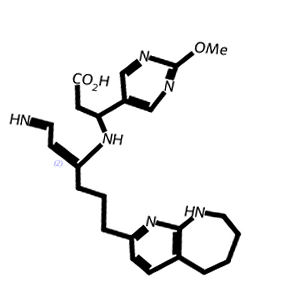 COc1ncc(C(CC(=O)O)N/C(=C\C=N)CCCc2ccc3c(n2)NCCCC3)cn1